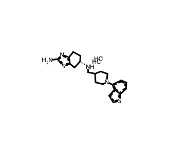 Cl.Cl.Nc1nc2c(s1)C[C@@H](NCC1CCN(c3cccc4sccc34)CC1)CC2